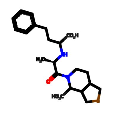 C[C@H](NC(CCc1ccccc1)C(=O)O)C(=O)N1CCC2CSCC2C1C(=O)O